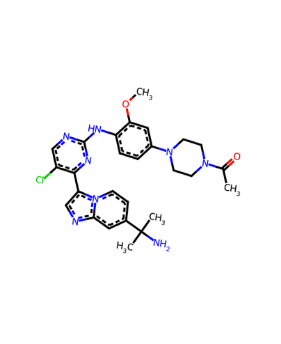 COc1cc(N2CCN(C(C)=O)CC2)ccc1Nc1ncc(Cl)c(-c2cnc3cc(C(C)(C)N)ccn23)n1